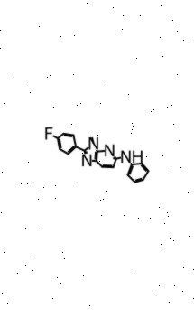 Cn1c(-c2ccc(F)cc2)nc2ccc(Nc3ccccc3)nc21